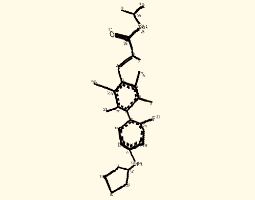 C/C(=C\c1c(C)c(C)c(-c2ccc(NC3CCCC3)cc2F)c(C)c1C)C(=O)NC(C)C